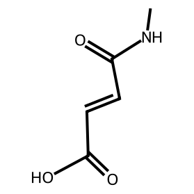 CNC(=O)C=CC(=O)O